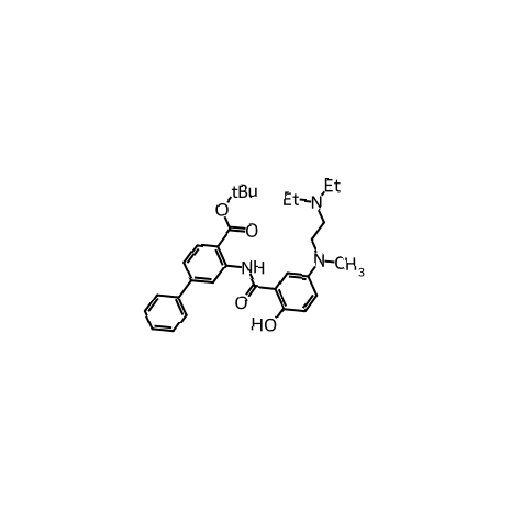 CCN(CC)CCN(C)c1ccc(O)c(C(=O)Nc2cc(-c3ccccc3)ccc2C(=O)OC(C)(C)C)c1